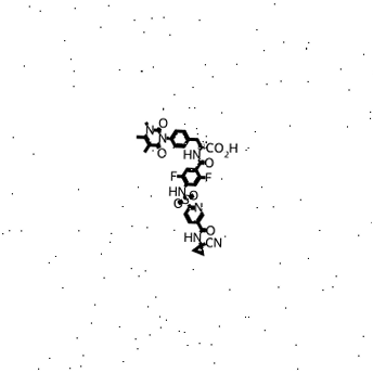 Cc1c(C)n(C)c(=O)n(-c2ccc(C[C@H](NC(=O)c3cc(F)c(NS(=O)(=O)c4ccc(C(=O)NC5(C#N)CC5)cn4)cc3F)C(=O)O)cc2)c1=O